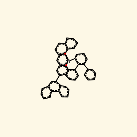 c1ccc(-c2ccccc2-c2c(-c3ccccc3)cccc2N(c2ccc(-c3cc4ccccc4c4ccccc34)cc2)c2cccc3ccccc23)cc1